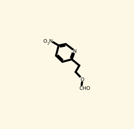 O=COCCc1ccc([N+](=O)[O-])cn1